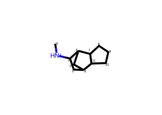 CNC1CC2CC1C1CCCC21